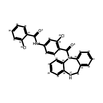 O=C(Nc1ccc(C(=O)N2c3ccccc3CNc3ccccc32)c(Cl)c1)c1ccccc1Cl